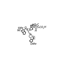 COc1ccc(C2CCN(CCC(CN(C)C(=O)c3c(SC)c(C#N)cc4ccccc34)c3ccc(Cl)c(Cl)c3)CC2)c([S@+](C)[O-])c1.O=C(O)CC(O)(CC(=O)O)C(=O)O